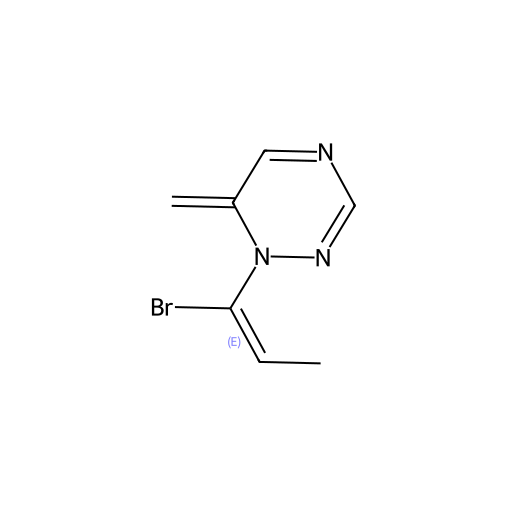 C=C1C=NC=NN1/C(Br)=C\C